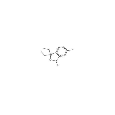 CC[Si]1(CC)OC(C)c2cc(C)ccc21